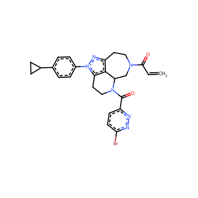 C=CC(=O)N1CCc2nn(-c3ccc(C4CC4)cc3)c3c2C(C1)N(C(=O)c1ccc(Br)nn1)CC3